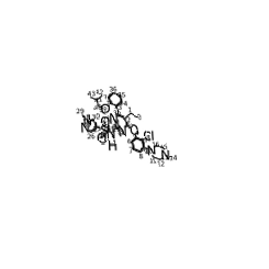 CCc1c(Oc2cccc(N3CCN(C)CC3)c2Cl)nc(NS(=O)(=O)c2cnn(C)c2)nc1-c1ccccc1OCC(C)C